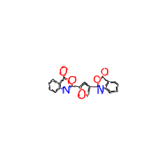 O=c1oc(-c2coc(-c3nc4ccccc4c(=O)o3)c2)nc2ccccc12